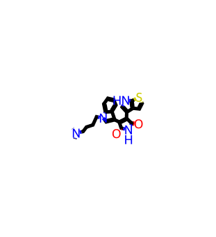 CN(C)CCCCn1cc(C2=C(c3c[nH]c4sccc34)C(=O)NC2=O)c2ccccc21